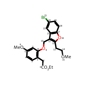 CCOC(=O)Cc1ccc(OC)cc1OCc1c(CCOC)oc2ccc(Br)cc12